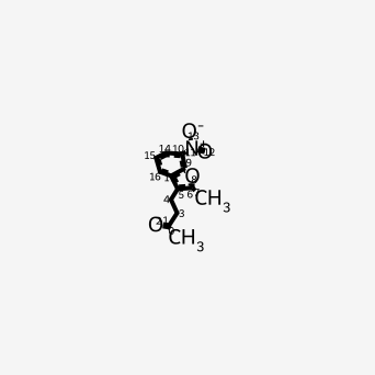 CC(=O)CCc1c(C)oc2c([N+](=O)[O-])cccc12